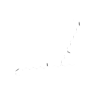 CCCCCCCC/C=C\CCCCCCCC(=O)OCCN(CCCO)CCOC(=O)CCCCCCC/C=C\CCCCCCCC